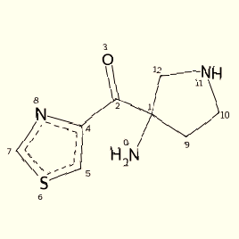 NC1(C(=O)c2cscn2)CCNC1